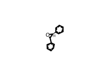 c1ccc(C2O[C@H]2c2ccccc2)cc1